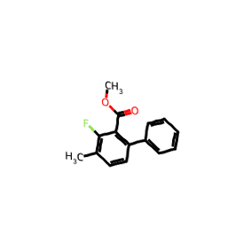 COC(=O)c1c(-c2ccccc2)ccc(C)c1F